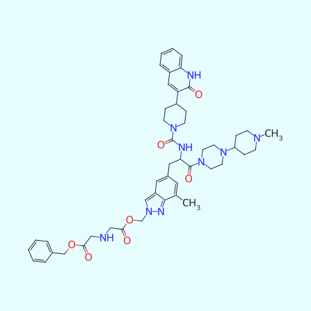 Cc1cc(CC(NC(=O)N2CCC(c3cc4ccccc4[nH]c3=O)CC2)C(=O)N2CCN(C3CCN(C)CC3)CC2)cc2cn(COC(=O)CNCC(=O)OCc3ccccc3)nc12